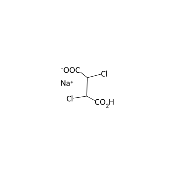 O=C([O-])C(Cl)C(Cl)C(=O)O.[Na+]